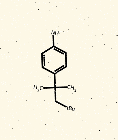 CC(C)(C)CC(C)(C)c1ccc([NH])cc1